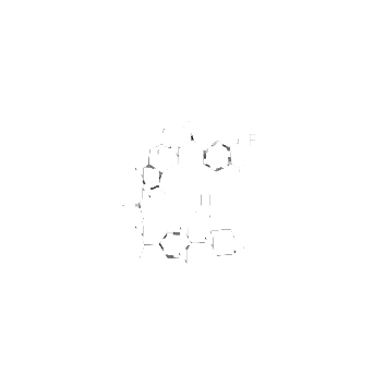 CC(NC[C@@H](C)n1nc2c(c1C(=O)O)CN(C(=O)c1ccc(Cl)c(C(F)(F)F)c1)[C@H](C)C2)c1cnc(N2CCOC[C@@H]2C)nc1